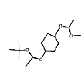 COC(C)OC1CCC(OC(C)OC(C)(C)C)CC1